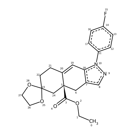 CCOC(=O)[C@]12Cc3cnn(-c4ccc(F)cc4)c3C=C1CCC1(C2)OCCO1